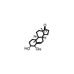 C[C@]12CC[C@H](O)[C@H](O)C1=CC[C@@H]1[C@@H]2CC[C@]2(C)C(=O)CC[C@@H]12